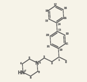 CC(CCN1CCNCC1)c1ccc(-c2ccccc2)cc1